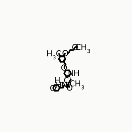 COCCCOc1cc(CO[C@@H]2CC[C@@H](CC(C)(C)C(=O)NCC3CCOCC3)NC2)ccc1C